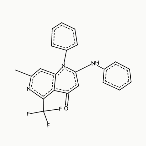 Cc1cc2c(c(C(F)(F)F)n1)c(=O)cc(Nc1ccccc1)n2-c1ccccc1